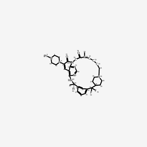 CC(C)N1CCN(c2cc3c4ncnc3n(c2=O)CC(=O)N(C)CCCCN2CCC(CC2)C(F)(F)c2cccc(c2)[C@@H](C)N4)CC1